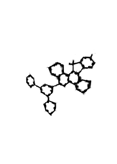 CC1(C)c2cc(Br)ccc2-c2c1c1c3ccccc3c(-c3cc(-c4ccccc4)cc(-c4ccccc4)c3)cc1c1ccccc21